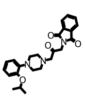 CC(C)Oc1ccccc1N1CCN(CC(=O)CN2C(=O)c3ccccc3C2=O)CC1